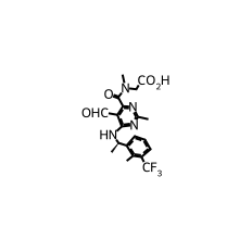 Cc1nc(N[C@H](C)c2cccc(C(F)(F)F)c2C)c(C=O)c(C(=O)N(C)CC(=O)O)n1